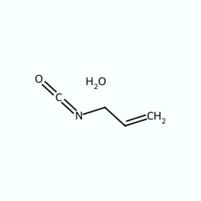 C=CCN=C=O.O